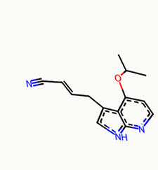 CC(C)Oc1ccnc2[nH]cc(CC=CC#N)c12